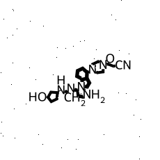 C=C(/N=C(\C=C/N)n1ccc2c(N3CCN(C(=O)CC#N)CC3)cccc21)N[C@@H]1CC[C@@H](O)C1